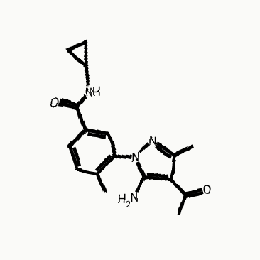 CC(=O)c1c(C)nn(-c2cc(C(=O)NC3CC3)ccc2C)c1N